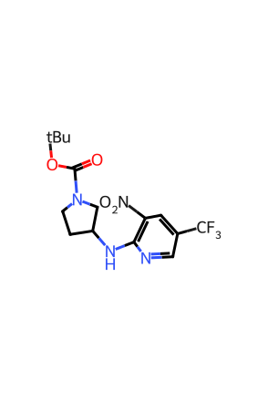 CC(C)(C)OC(=O)N1CCC(Nc2ncc(C(F)(F)F)cc2[N+](=O)[O-])C1